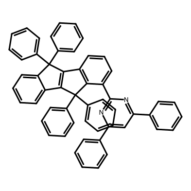 c1ccc(-c2cc(-c3ccccc3)nc(-c3cccc4c3C(c3ccccc3)(c3ccccc3)C3=C4C(c4ccccc4)(c4ccccc4)c4ccccc43)n2)cc1